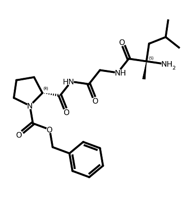 CC(C)C[C@](C)(N)C(=O)NCC(=O)NC(=O)[C@H]1CCCN1C(=O)OCc1ccccc1